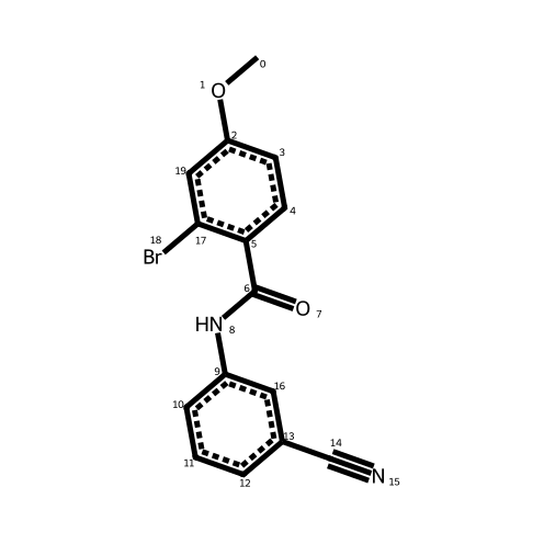 COc1ccc(C(=O)Nc2cccc(C#N)c2)c(Br)c1